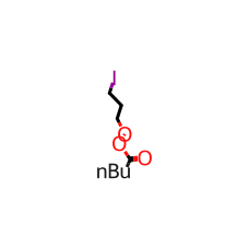 CCCCC(=O)OOCCCI